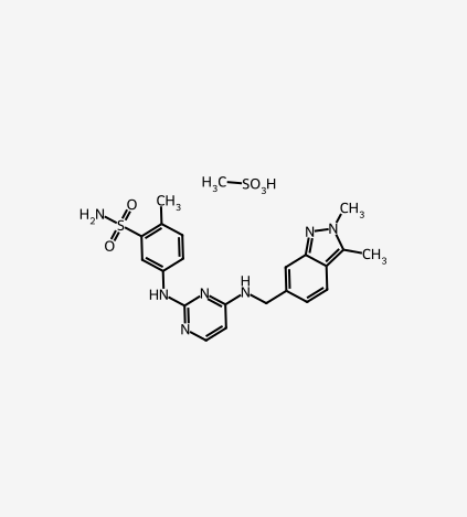 CS(=O)(=O)O.Cc1ccc(Nc2nccc(NCc3ccc4c(C)n(C)nc4c3)n2)cc1S(N)(=O)=O